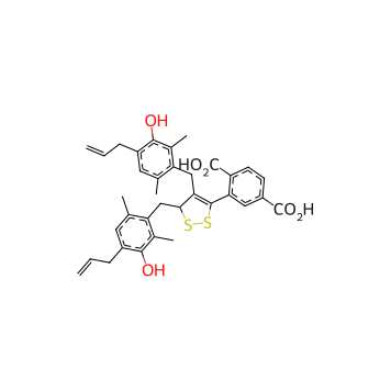 C=CCc1cc(C)c(CC2=C(c3cc(C(=O)O)ccc3C(=O)O)SSC2Cc2c(C)cc(CC=C)c(O)c2C)c(C)c1O